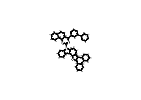 c1ccc(-c2cccc(-c3nc(-n4c5ccccc5c5c6oc7c8ccccc8c8ccccc8c7c6ccc54)nc4c3ccc3ccccc34)c2)cc1